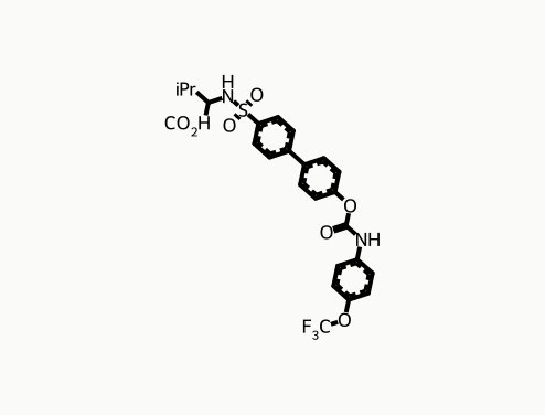 CC(C)C(NS(=O)(=O)c1ccc(-c2ccc(OC(=O)Nc3ccc(OC(F)(F)F)cc3)cc2)cc1)C(=O)O